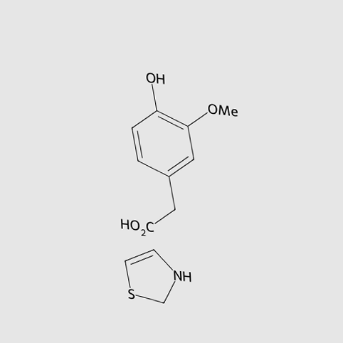 C1=CSCN1.COc1cc(CC(=O)O)ccc1O